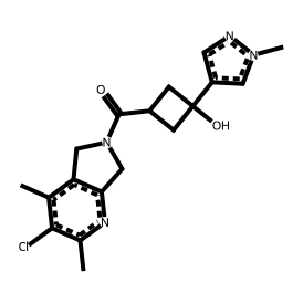 Cc1nc2c(c(C)c1Cl)CN(C(=O)C1CC(O)(c3cnn(C)c3)C1)C2